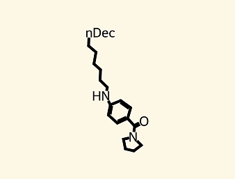 CCCCCCCCCCCCCCCCNc1ccc(C(=O)N2CCCC2)cc1